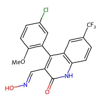 COc1ccc(Cl)cc1-c1c(C=NO)c(=O)[nH]c2ccc(C(F)(F)F)cc12